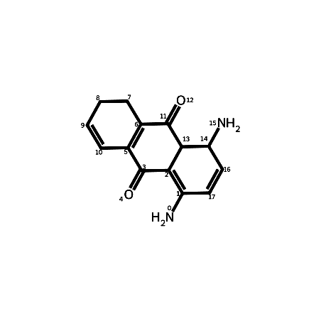 NC1=C2C(=O)C3=C(CCC=C3)C(=O)C2C(N)C=C1